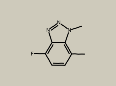 Cc1ccc(F)c2nnn(C)c12